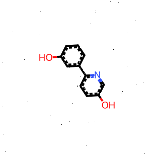 Oc1c[c]c(-c2cccc(O)c2)nc1